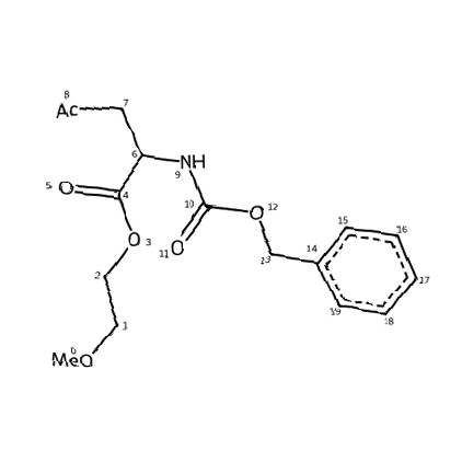 COCCOC(=O)C(CC(C)=O)NC(=O)OCc1ccccc1